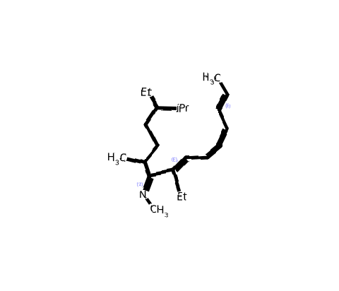 C/C=C/C=C=C/C=C(CC)/C(=N\C)C(C)CCC(CC)C(C)C